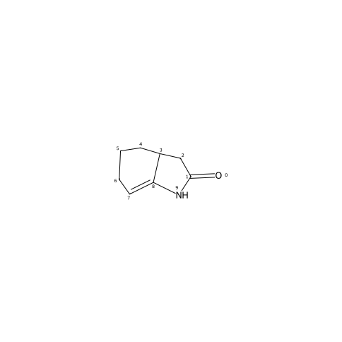 O=C1CC2CCCC=C2N1